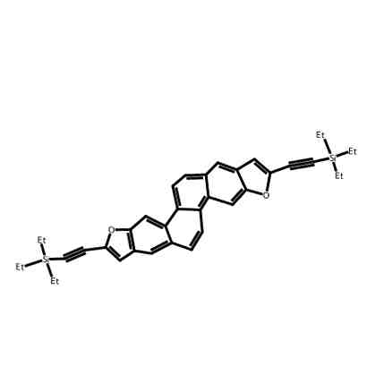 CC[Si](C#Cc1cc2cc3ccc4c5cc6oc(C#C[Si](CC)(CC)CC)cc6cc5ccc4c3cc2o1)(CC)CC